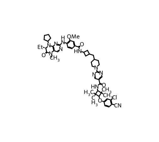 CC[C@@H]1C(=O)N(C)c2cnc(Nc3ccc(C(=O)NC4CC(CC5CCN(c6ncc(C(=O)NC7C(C)(C)C(Oc8ccc(C#N)c(Cl)c8)C7(C)C)cn6)CC5)C4)cc3OC)nc2N1C1CCCC1